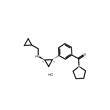 Cl.O=C(c1cccc([C@@H]2C[C@H]2NCC2CC2)c1)N1CCCC1